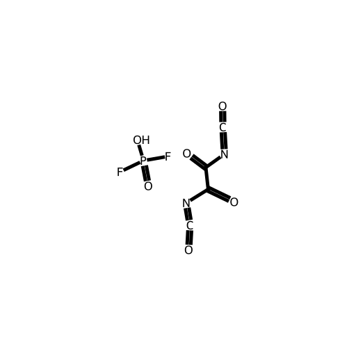 O=C=NC(=O)C(=O)N=C=O.O=P(O)(F)F